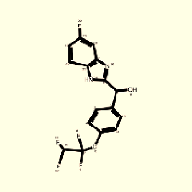 OC(c1ccc(OC(F)(F)C(F)F)cc1)c1nc2cc(F)ccc2[nH]1